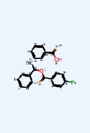 N#CC(OC(=S)c1ccc(F)cc1)c1ccccc1.OC(=S)c1ccccc1